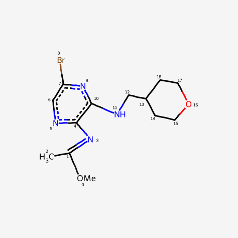 COC(C)=Nc1ncc(Br)nc1NCC1CCOCC1